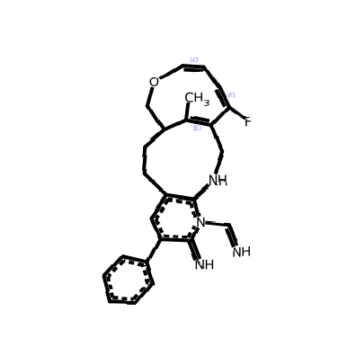 C\C1=C2CNc3c(cc(-c4ccccc4)c(=N)n3C=N)CCC1CO\C=C/C=C\2F